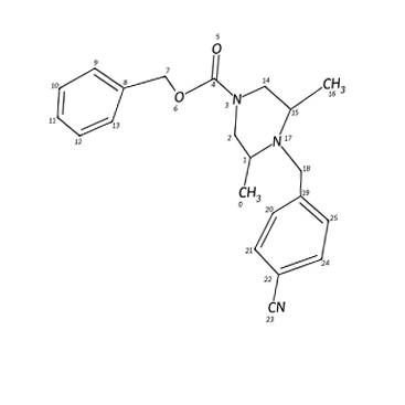 CC1CN(C(=O)OCc2ccccc2)CC(C)N1Cc1ccc(C#N)cc1